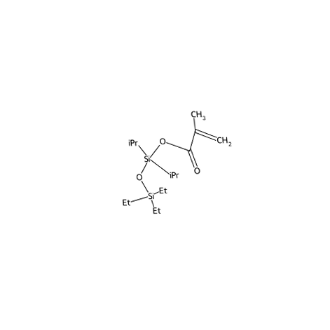 C=C(C)C(=O)O[Si](O[Si](CC)(CC)CC)(C(C)C)C(C)C